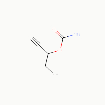 C#CC(CC(F)(F)F)OC(N)=O